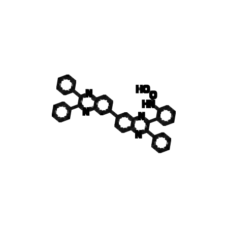 OONc1ccccc1-c1nc2cc(-c3ccc4nc(-c5ccccc5)c(-c5ccccc5)nc4c3)ccc2nc1-c1ccccc1